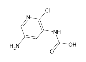 Nc1cnc(Cl)c(NC(=O)O)c1